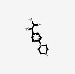 O=C(O)C(O)c1ccc(N2CCOCC2)cc1